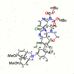 COc1ccc(CN(Cc2ccc(OC)cc2)c2cc(C)c(C(F)(F)F)c(-c3c(Cl)c4c5c(nc(Cl)nc5c3F)N([C@H](C)c3cccnc3N(C(=O)OC(C)(C)C)C(=O)OC(C)(C)C)CCO4)c2F)cc1